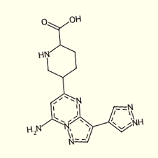 Nc1cc(C2CCC(C(=O)O)NC2)nc2c(-c3cn[nH]c3)cnn12